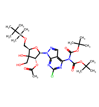 CC(=O)O[C@H]1[C@H](n2ncc3c(N(C(=O)OC(C)(C)C)C(=O)OC(C)(C)C)nc(Cl)nc32)O[C@H](CO[Si](C)(C)C(C)(C)C)C1(O)CO